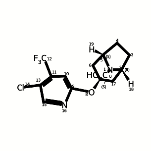 O=C(O)N1[C@@H]2CC[C@H]1C[C@H](Oc1cc(C(F)(F)F)c(Cl)cn1)C2